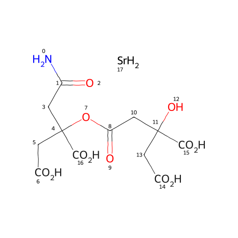 NC(=O)CC(CC(=O)O)(OC(=O)CC(O)(CC(=O)O)C(=O)O)C(=O)O.[SrH2]